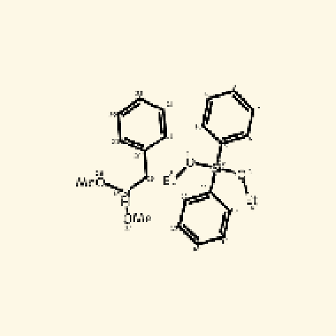 CCO[Si](OCC)(c1ccccc1)c1ccccc1.CO[SiH](Cc1ccccc1)OC